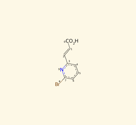 O=C(O)C=Cc1cccc(Br)n1